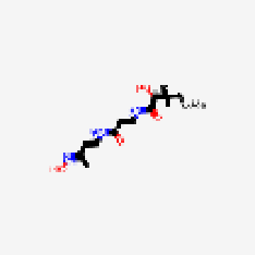 COCC(C)(C)[C@H](O)C(=O)NCCC(=O)NCC/C(C)=N/O